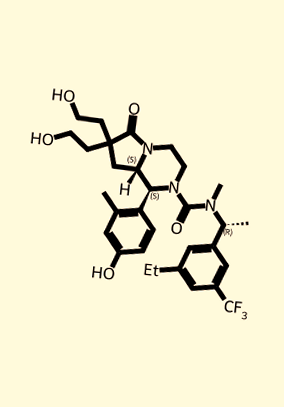 CCc1cc([C@@H](C)N(C)C(=O)N2CCN3C(=O)C(CCO)(CCO)C[C@H]3[C@@H]2c2ccc(O)cc2C)cc(C(F)(F)F)c1